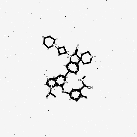 CNC(O)c1cc(Nc2nc(-c3ccc4c(c3)N([C@H]3C[C@@H](N5CCCCC5)C3)C(=O)C43CCOCC3)cc3ncn(C(C)C)c23)ccc1C